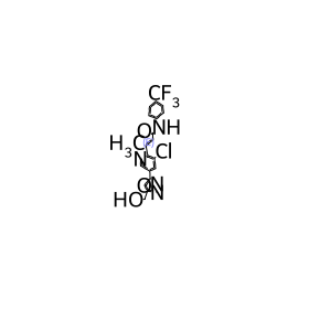 C/C(=C\C(=O)Nc1ccc(C(F)(F)F)cc1)c1ncc(-c2nnc(CO)o2)cc1Cl